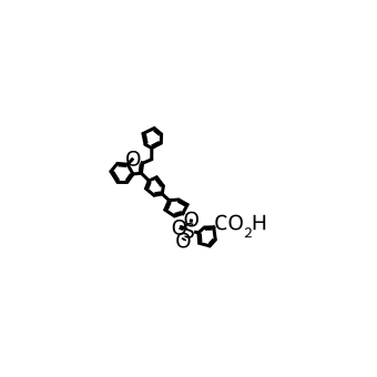 O=C(O)c1cccc(S(=O)(=O)Oc2ccc(-c3ccc(-c4c(Cc5ccccc5)oc5ccccc45)cc3)cc2)c1